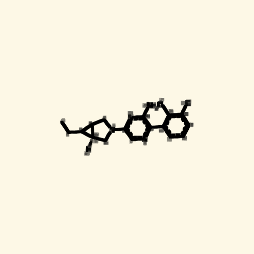 CCC1C2CN(c3cnc(-c4cccc(Cl)c4Cl)c(N)n3)C[C@@H]12